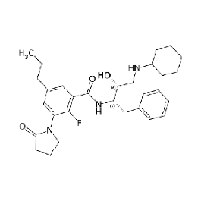 CCCc1cc(C(=O)N[C@@H](Cc2ccccc2)[C@H](O)CNC2CCCCC2)c(F)c(N2CCCC2=O)c1